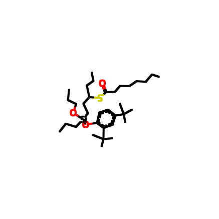 CCCCCCCC(=O)SC(CCC)CC[Si](CCC)(OCCC)Oc1ccc(C(C)(C)C)cc1C(C)(C)C